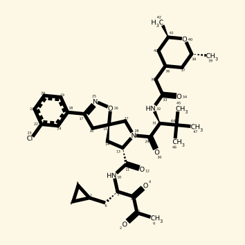 CC(=O)C(=O)[C@H](CC1CC1)NC(=O)[C@@H]1C[C@]2(CC(c3cccc(Cl)c3)=NO2)CN1C(=O)[C@@H](NC(=O)CC1C[C@@H](C)O[C@H](C)C1)C(C)(C)C